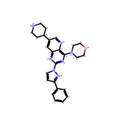 c1ccc(-c2ccn(-c3nc(N4CCOCC4)c4ncc(C5CCNCC5)cc4n3)n2)cc1